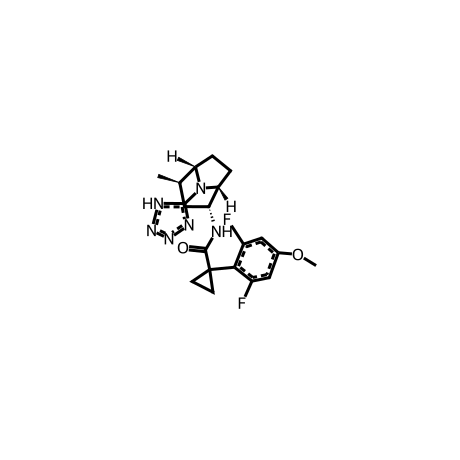 COc1cc(F)c(C2(C(=O)N[C@@H]3C[C@@H](C)[C@@H]4CC[C@H]3N4c3nnn[nH]3)CC2)c(F)c1